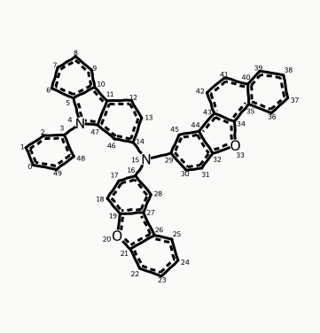 c1ccc(-n2c3ccccc3c3ccc(N(c4ccc5oc6ccccc6c5c4)c4ccc5oc6c7ccccc7ccc6c5c4)cc32)cc1